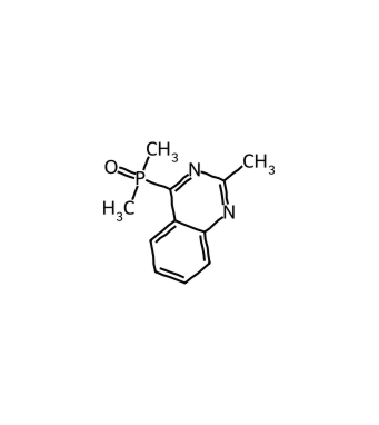 Cc1nc(P(C)(C)=O)c2ccccc2n1